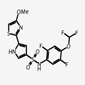 COc1csc(-c2cc(S(=O)(=O)Nc3cc(F)c(OC(F)F)cc3F)c[nH]2)n1